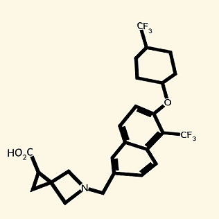 O=C(O)C1CC12CN(Cc1ccc3c(C(F)(F)F)c(OC4CCC(C(F)(F)F)CC4)ccc3c1)C2